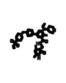 C=CS(=O)(=O)N1CCN(Cc2ccc(-c3cc(C(=O)NCc4c(C)cc(C)[nH]c4=O)c(C)c(N(CC)C4CCOCC4)c3)cc2)CC1